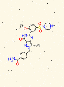 CCCc1c2nc(-c3cc(S(=O)(=O)N4CCN(C)CC4)ccc3OCC)[nH]c(=O)c2nn1Cc1ccc(C(N)=O)cc1